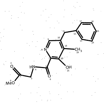 COC(=O)CNC(=O)c1ncc(Cc2ccccc2)c(C)c1O